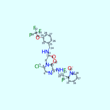 O=C(Cn1c(Cl)cnc(NCC(F)(F)c2cccc[n+]2[O-])c1=O)NCc1cccc(OC(F)(F)F)c1